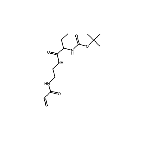 C=CC(=O)NCCNC(=O)C(CC)NC(=O)OC(C)(C)C